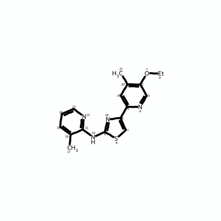 CCOc1cnc(-c2csc(Nc3ncccc3C)n2)cc1C